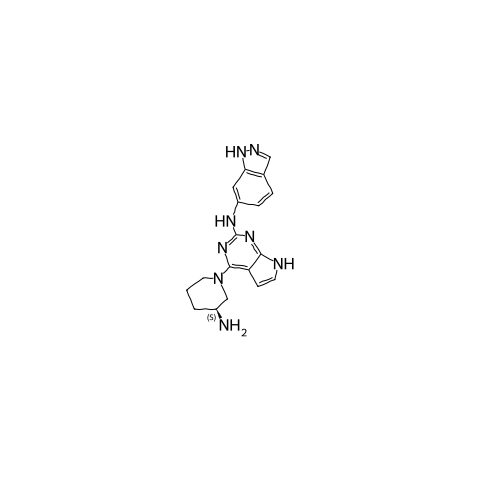 N[C@H]1CCCN(c2nc(Nc3ccc4cn[nH]c4c3)nc3[nH]ccc23)C1